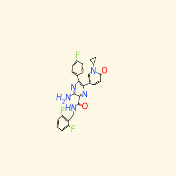 Nc1nc(-c2ccc(F)cc2)c(-c2ccc(=O)n(C3CC3)c2)nc1C(=O)NCc1c(F)cccc1F